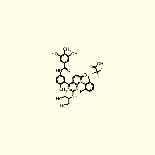 Cc1ccc(NC(=O)c2cc(O)c(C)c(O)c2)cc1-c1nc(NC(CO)CO)nc2c1ccc(=O)n2-c1c(F)cccc1F.O=C(O)C(F)(F)F